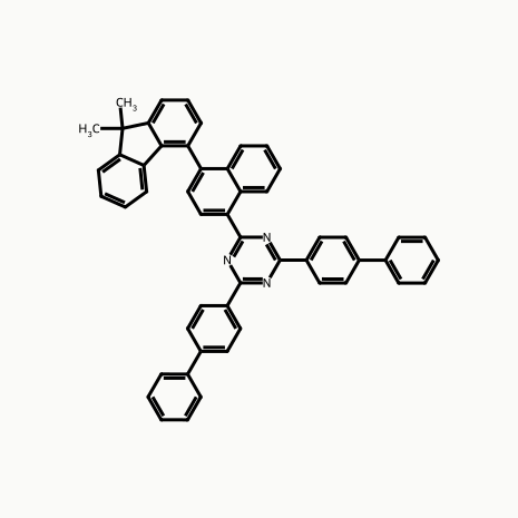 CC1(C)c2ccccc2-c2c(-c3ccc(-c4nc(-c5ccc(-c6ccccc6)cc5)nc(-c5ccc(-c6ccccc6)cc5)n4)c4ccccc34)cccc21